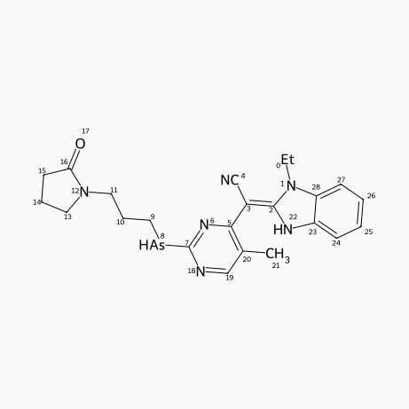 CCN1C(=C(C#N)c2nc([AsH]CCCN3CCCC3=O)ncc2C)Nc2ccccc21